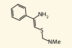 CNCS/C=C(\N)c1ccccc1